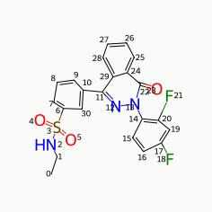 CCNS(=O)(=O)c1cccc(-c2nn(-c3ccc(F)cc3F)c(=O)c3ccccc23)c1